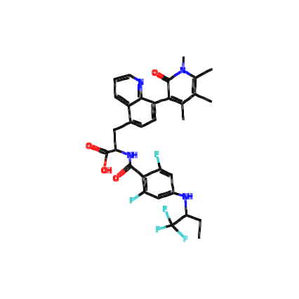 CCC(Nc1cc(F)c(C(=O)NC(Cc2ccc(-c3c(C)c(C)c(C)n(C)c3=O)c3ncccc23)C(=O)O)c(F)c1)C(F)(F)F